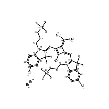 CC1(C)C(=CC2=C([O-])C(=CC3=[N+](CCC[N+](C)(C)C)c4ccc(Cl)cc4C3(C)C)C2=C(C#N)C#N)N(CCC[N+](C)(C)C)c2ccc(Cl)cc21.[Br-].[Br-]